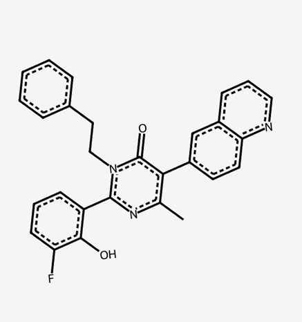 Cc1nc(-c2cccc(F)c2O)n(CCc2ccccc2)c(=O)c1-c1ccc2ncccc2c1